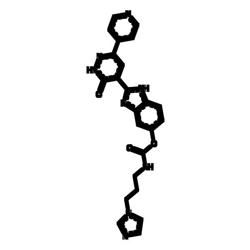 O=C(NCCCn1ccnc1)Oc1ccc2[nH]c(-c3cc(-c4ccncc4)n[nH]c3=O)nc2c1